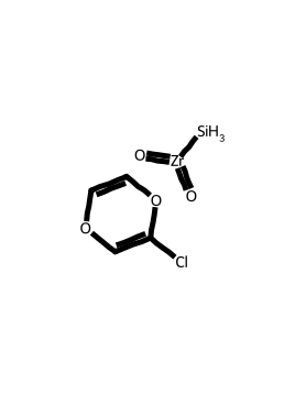 ClC1=COC=CO1.[O]=[Zr](=[O])[SiH3]